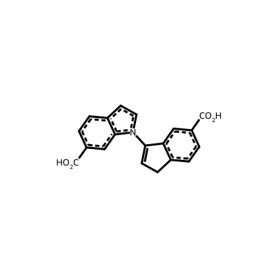 O=C(O)c1ccc2c(c1)C(n1ccc3ccc(C(=O)O)cc31)=CC2